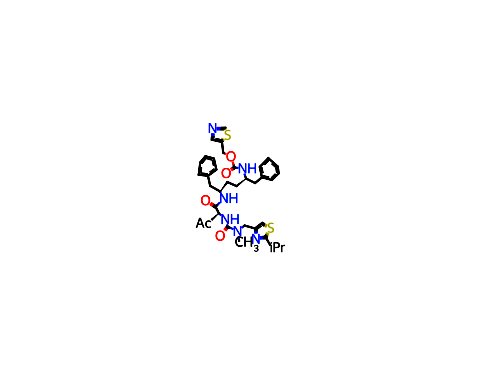 CC(=O)[C@H](NC(=O)N(C)Cc1csc(C(C)C)n1)C(=O)N[C@H](CC[C@H](Cc1ccccc1)NC(=O)OCc1cncs1)Cc1ccccc1